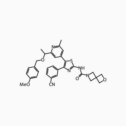 COc1ccc(COC(C)c2cc(-c3sc(NC(=O)N4CC5(COC5)C4)nc3-c3cccc(C#N)c3)cc(C)n2)cc1